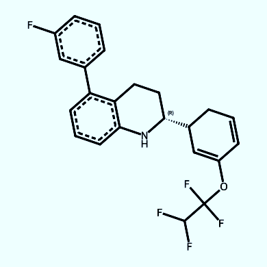 Fc1cccc(-c2cccc3c2CC[C@H](C2C=C(OC(F)(F)C(F)F)C=CC2)N3)c1